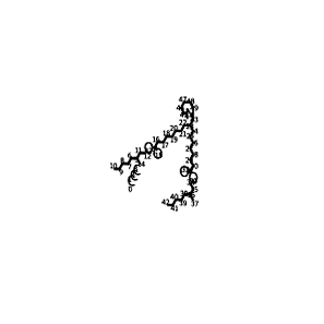 C=C=C=C=CC(CCCCC)CCOC(=O)CCCCCCCC(CCCCCCCC(=O)OCCC(C)CCCCC)CN1CCCCC1